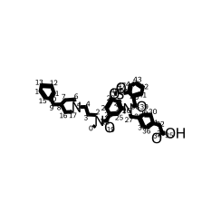 CN(CCCN1CCC(Cc2ccccc2)CC1)C(=O)c1ccc2c(c1)N(Cc1ccc(CC(=O)O)cc1)C(=O)c1ccccc1S2(=O)=O